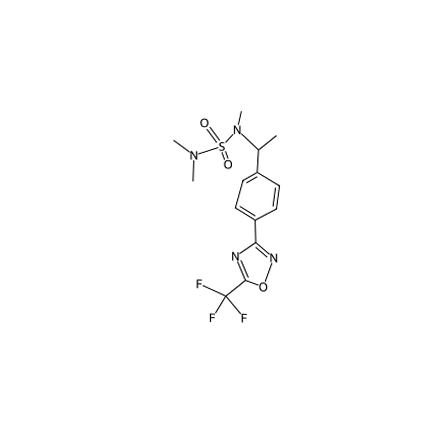 CC(c1ccc(-c2noc(C(F)(F)F)n2)cc1)N(C)S(=O)(=O)N(C)C